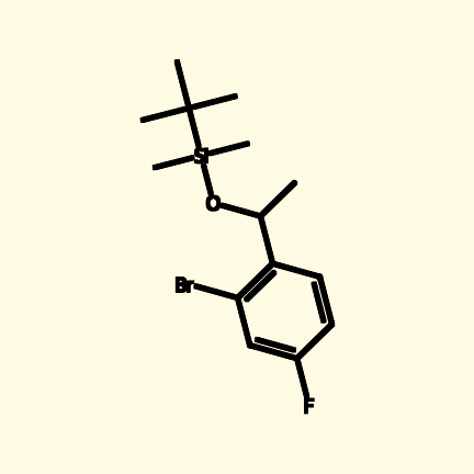 CC(O[Si](C)(C)C(C)(C)C)c1ccc(F)cc1Br